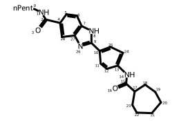 CCCCCNC(=O)c1ccc2[nH]c(-c3ccc(NC(=O)C4CCCCCC4)cc3)nc2c1